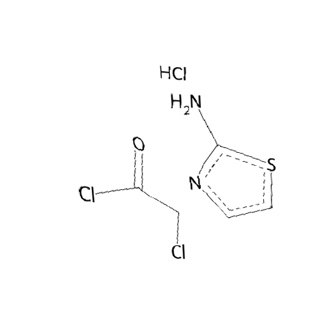 Cl.Nc1nccs1.O=C(Cl)CCl